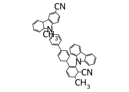 CC1C=CC(C2C=CC(c3ccc(N4c5ccc(C#N)cc5C5C=CC=C[C@@]54C)cc3)=CC2)=C(n2c3ccccc3c3ccccc32)C1C#N